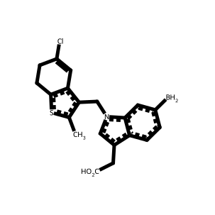 Bc1ccc2c(CC(=O)O)cn(Cc3c(C)sc4c3C=C(Cl)CC4)c2c1